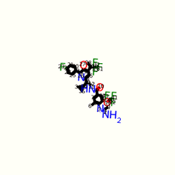 C/C(N)=N\c1c(C)cc(C(=O)NC[C@H](c2cc3c(c(-c4ccc(F)cc4)n2)OC[C@H]3C(F)(F)F)C2CC2)cc1OC(F)(F)F